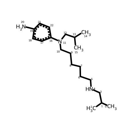 CC(C)CNCCCCCCN(CC(C)C)c1ccc(N)cc1